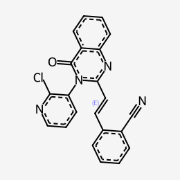 N#Cc1ccccc1/C=C/c1nc2ccccc2c(=O)n1-c1cccnc1Cl